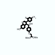 COC(COc1ccc([C@@H](O)c2c(-c3ccc(C(F)(F)F)cc3F)cnc3cc(O)ccc23)cc1)OC